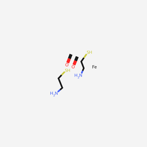 C=O.C=O.NCCS.NCCS.[Fe]